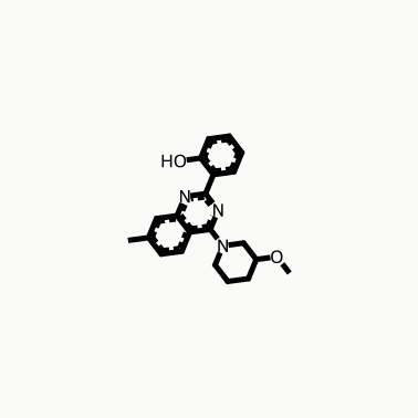 COC1CCCN(c2nc(-c3ccccc3O)nc3cc(C)ccc23)C1